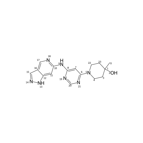 CC1(O)CCN(c2cc(Nc3cc4[nH]ncc4cn3)ncn2)CC1